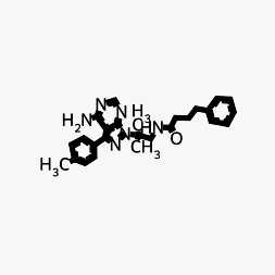 Cc1ccc(-c2nn(C(C)(C)CNC(=O)CCCc3ccccc3)c3ncnc(N)c23)cc1